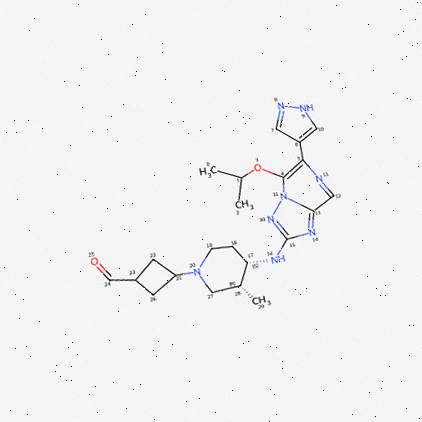 CC(C)Oc1c(-c2cn[nH]c2)ncc2nc(N[C@H]3CCN(C4CC(C=O)C4)C[C@H]3C)nn12